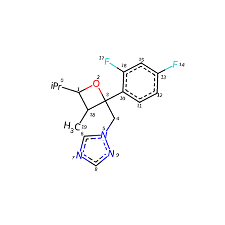 CC(C)C1OC(Cn2cncn2)(c2ccc(F)cc2F)C1C